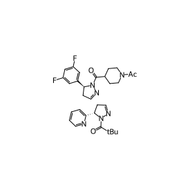 CC(=O)N1CCC(C(=O)N2N=CC[C@H]2c2cc(F)cc(F)c2)CC1.CC(C)(C)C(=O)N1N=CC[C@H]1c1ccccn1